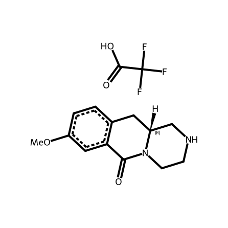 COc1ccc2c(c1)C(=O)N1CCNC[C@H]1C2.O=C(O)C(F)(F)F